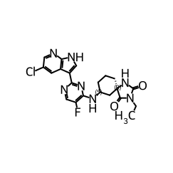 CCN1C(=O)N[C@@]2(CCC[C@H](Nc3nc(-c4c[nH]c5ncc(Cl)cc45)ncc3F)C2)C1=O